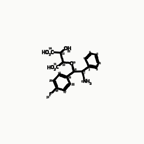 NC(c1ccccc1)C(OC(C(=O)O)C(O)C(=O)O)c1ccc(F)cc1